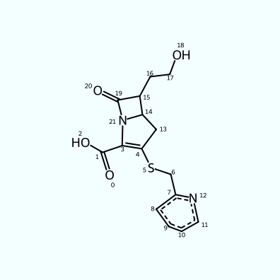 O=C(O)C1=C(SCc2ccccn2)CC2C(CCO)C(=O)N12